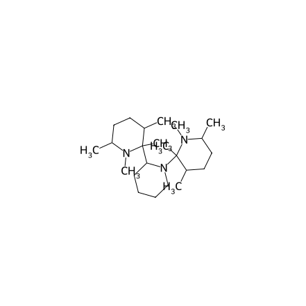 CC1CCC(C)C(C)(C2CCCCN2C2(C)C(C)CCC(C)N2C)N1C